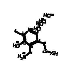 Cc1ncc(CSS)c(CN)c1O.Cl.Cl.Cl.Cl